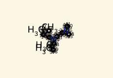 CCc1ccccc1-c1c(CC)cccc1-c1ccc(N(c2ccc(-c3ccc4c(c3)c3ccccc3n4-c3ccccc3)cc2)c2ccc3c(c2)C(C)(C)c2ccccc2-3)cc1